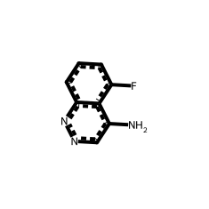 Nc1cnnc2cccc(F)c12